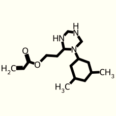 C=CC(=O)OCCC1NCNCN1C1CC(C)CC(C)C1